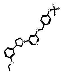 CCOc1cccc(C2CCN(c3cncc(OCc4ccc(OC(F)(F)F)cc4)c3)C2)c1